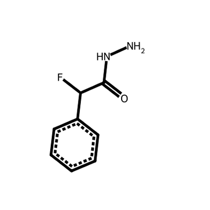 NNC(=O)C(F)c1ccccc1